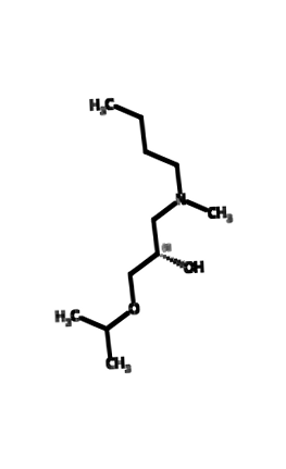 CCCCN(C)C[C@H](O)COC(C)C